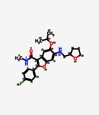 CNC(=O)c1c(-c2ccc(F)cc2)oc2cc(NCC3CCCO3)c(OC(C)C)cc12